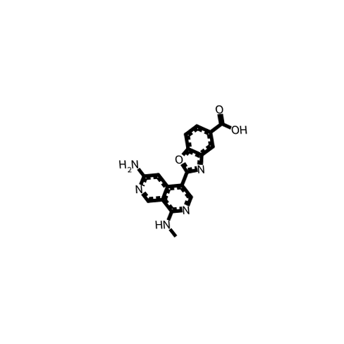 CNc1ncc(-c2nc3cc(C(=O)O)ccc3o2)c2cc(N)ncc12